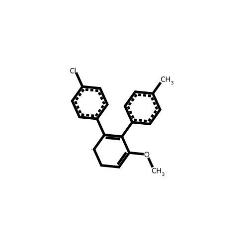 COC1=CC[CH]C(c2ccc(Cl)cc2)=C1c1ccc(C)cc1